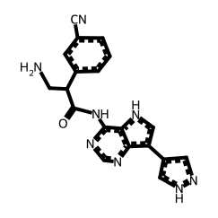 N#Cc1cccc(C(CN)C(=O)Nc2ncnc3c(-c4cn[nH]c4)c[nH]c23)c1